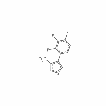 O=C(O)c1cscc1-c1ccc(F)c(F)c1F